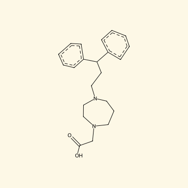 O=C(O)CN1CCCN(CCC(c2ccccc2)c2ccccc2)CC1